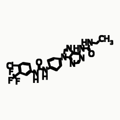 CCNC(=O)Nc1ncnc2c1ncn2-c1ccc(NC(=O)Nc2ccc(Cl)c(C(F)(F)F)c2)cc1